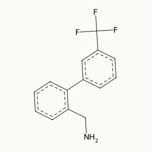 NCc1ccccc1-c1cccc(C(F)(F)F)c1